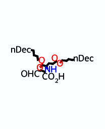 CCCCCCCCCCCCCCOC(=O)CCC(NC(CC=O)C(=O)O)C(=O)OCCCCCCCCCCCCCC